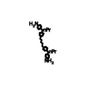 CCCC(c1ccc(N)cc1)c1ccc(CCCCCc2ccc(C(CCC)c3ccc(N)cc3)cc2)cc1